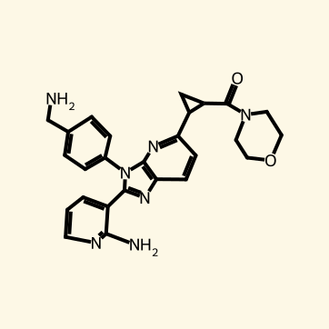 NCc1ccc(-n2c(-c3cccnc3N)nc3ccc(C4CC4C(=O)N4CCOCC4)nc32)cc1